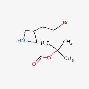 BrCCC1CNC1.CC(C)(C)OC=O